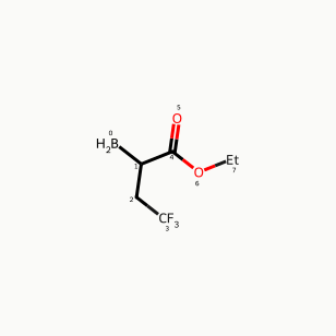 BC(CC(F)(F)F)C(=O)OCC